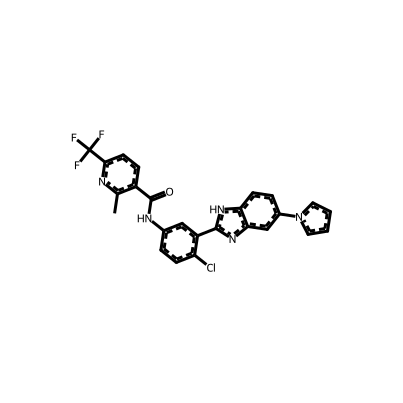 Cc1nc(C(F)(F)F)ccc1C(=O)Nc1ccc(Cl)c(-c2nc3cc(-n4cccc4)ccc3[nH]2)c1